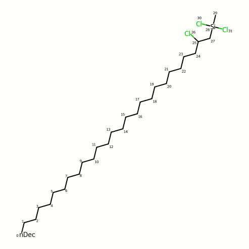 CCCCCCCCCCCCCCCCCCCCCCCCCCCCCCCCCCC(Cl)C[Si](C)(Cl)Cl